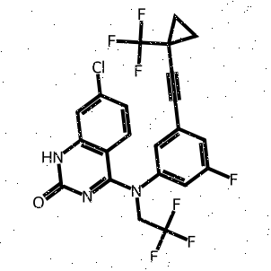 O=c1nc(N(CC(F)(F)F)c2cc(F)cc(C#CC3(C(F)(F)F)CC3)c2)c2ccc(Cl)cc2[nH]1